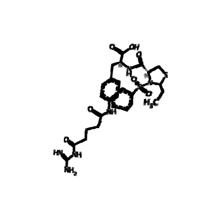 CCC1SC[C@@H](C(=O)N[C@@H](Cc2ccc(NC(=O)CCCC(=O)NC(=N)N)cc2)C(=O)O)N1S(=O)(=O)c1ccccc1